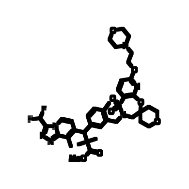 COC(=O)C(C)(C)C(c1ccc(C)c(CN2CC3(CCOCC3)Oc3nc(OCCN4CCOCC4)ccc3S2(=O)=O)c1)c1ccn2c(C(F)F)nnc2c1C